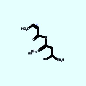 O=C(O)/C=C\C(=O)OC(=O)CC(O)C(=O)O.[AlH3].[Zn]